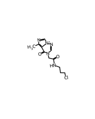 CC1=C2C(=O)N(CC(=O)NCCCCl)C=N[N+]2C=N1